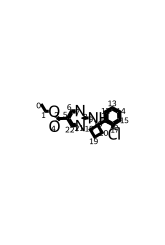 CCOC(=O)c1cnc(NC2(c3ccccc3Cl)CCC2)nc1